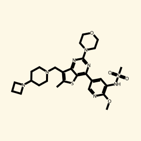 COc1ncc(-c2nc(N3CCOCC3)nc3c(CN4CCC(N5CCC5)CC4)c(C)sc23)cc1NS(C)(=O)=O